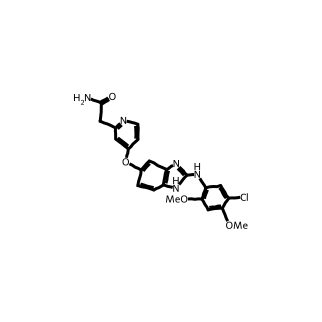 COc1cc(OC)c(Nc2nc3cc(Oc4ccnc(CC(N)=O)c4)ccc3[nH]2)cc1Cl